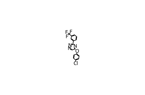 FC(F)(F)c1cccc(-c2nncc(Oc3ccc(Cl)cc3)n2)c1